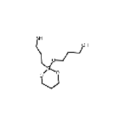 OCCCO[Si]1(CCCS)OCCCO1